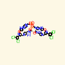 CC(=O)NCC1CCN(Cc2cc(Oc3ccc(N4CCN(CCO[PH](=O)OCCN5CCN(c6ccc(Oc7cc(CN8CCC(CNC(C)=O)CC8)cc(-c8cc(Cl)cc(Cl)c8)n7)cn6)CC5)CC4)nc3)nc(-c3cc(Cl)cc(Cl)c3)c2)CC1